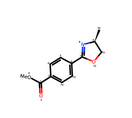 COC(=O)c1ccc(C2=N[C@@H](C)CO2)cc1